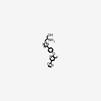 N[C@H](CO)Cn1nnc(-c2ccc(Oc3ncc(-c4ncco4)cc3F)cc2)n1